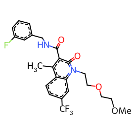 COCCOCCn1c(=O)c(C(=O)NCc2cccc(F)c2)c(C)c2ccc(C(F)(F)F)cc21